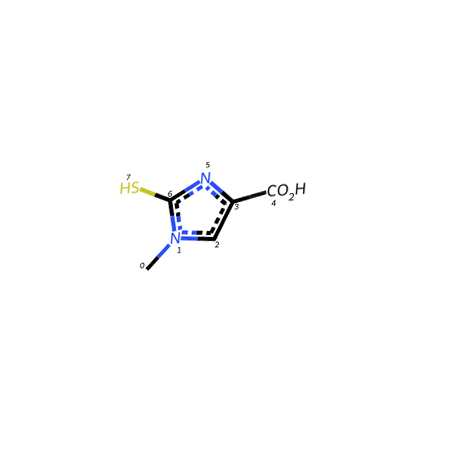 Cn1cc(C(=O)O)nc1S